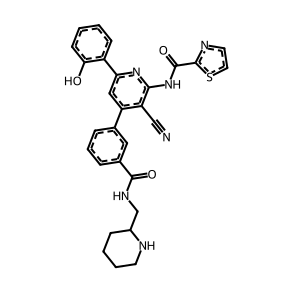 N#Cc1c(-c2cccc(C(=O)NCC3CCCCN3)c2)cc(-c2ccccc2O)nc1NC(=O)c1nccs1